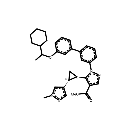 COC(=O)c1cnn(-c2cccc(-c3cccc(OC(C)C4CCCCC4)c3)c2)c1[C@@H]1C[C@H]1c1cnn(C)c1